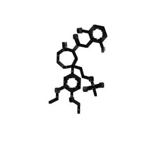 CCOc1ccc(C2(CCOS(C)(=O)=O)CCCNC(C(=O)Cc3c(F)cccc3Cl)C2)cc1OCC